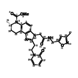 COC(=O)N1c2ccc3c(nc(CCn4ccccc4=O)n3CC(=O)NCc3cc(C)no3)c2CC[C@@H]1C